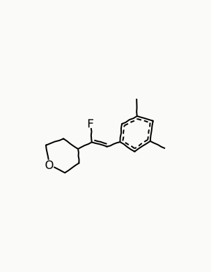 Cc1cc(C)cc(/C=C(\F)C2CCOCC2)c1